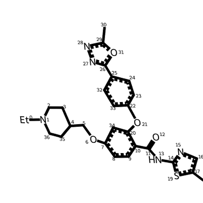 CCN1CCC(COc2ccc(C(=O)Nc3ncc(C)s3)c(Oc3ccc(-c4nnc(C)o4)cc3)c2)CC1